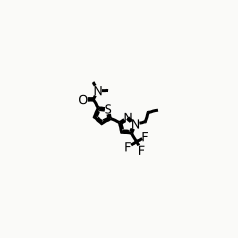 CCCn1nc(-c2ccc(C(=O)N(C)C)s2)cc1C(F)(F)F